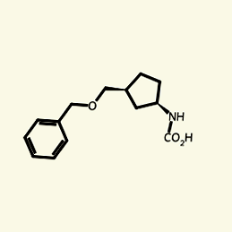 O=C(O)N[C@@H]1CC[C@H](COCc2ccccc2)C1